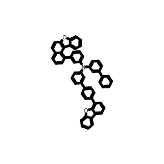 c1ccc(-c2cccc(N(c3cccc(-c4ccc(-c5cccc6c5oc5ccccc56)cc4)c3)c3cccc(-c4cccc5ccc6oc7ccccc7c6c45)c3)c2)cc1